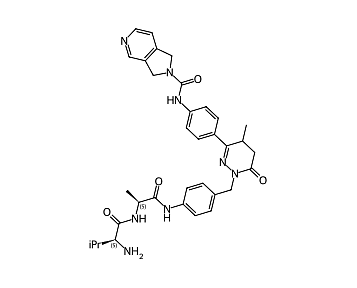 CC1CC(=O)N(Cc2ccc(NC(=O)[C@H](C)NC(=O)[C@@H](N)C(C)C)cc2)N=C1c1ccc(NC(=O)N2Cc3ccncc3C2)cc1